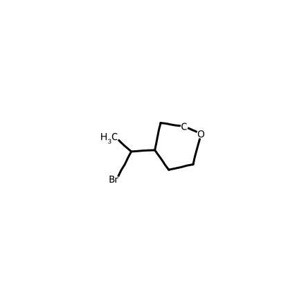 CC(Br)C1CCOCC1